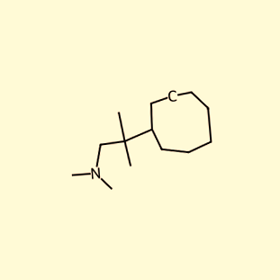 CN(C)CC(C)(C)C1CCCCCCC1